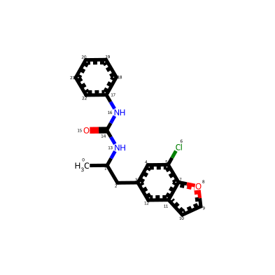 CC(Cc1cc(Cl)c2occc2c1)NC(=O)Nc1ccccc1